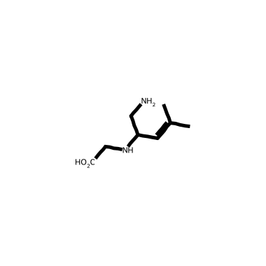 CC(C)=CC(CN)NCC(=O)O